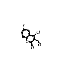 O=Cc1c(Cl)c2cc(F)ccc2oc1=O